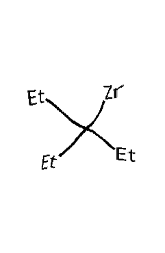 CC[C]([Zr])(CC)CC